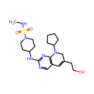 CNS(=O)(=O)N1CCC(Nc2ncc3c(n2)N(C2CCCC2)CC(CCO)=C3)CC1